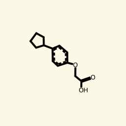 O=C(O)COc1ccc(C2CCCC2)cc1